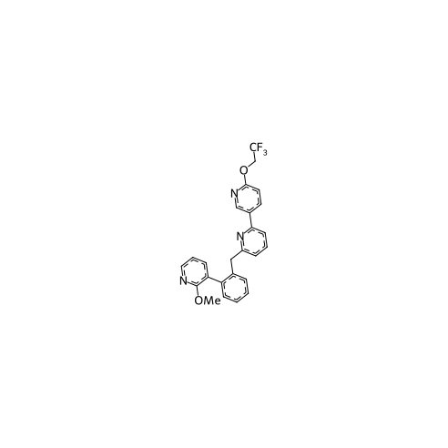 COc1ncccc1-c1ccccc1Cc1cccc(-c2ccc(OCC(F)(F)F)nc2)n1